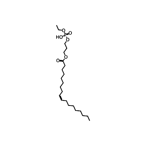 CCCCCCCC/C=C\CCCCCCCC(=O)OCCCOP(=O)(O)OCC